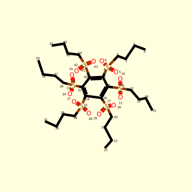 CCCCS(=O)(=O)c1c(S(=O)(=O)CCCC)c(S(=O)(=O)CCCC)c(S(=O)(=O)CCCC)c(S(=O)(=O)CCCC)c1S(=O)(=O)CCCC